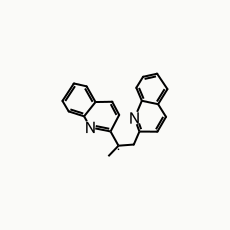 C[C](Cc1ccc2ccccc2n1)c1ccc2ccccc2n1